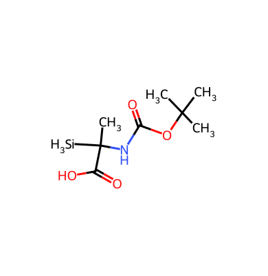 CC(C)(C)OC(=O)NC(C)([SiH3])C(=O)O